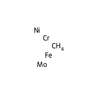 C.[Cr].[Fe].[Mo].[Ni]